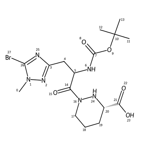 Cn1nc(CC(NC(=O)OC(C)(C)C)C(=O)N2CCC[C@@H](C(=O)O)N2)nc1Br